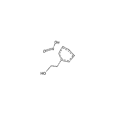 O=NO.OCCc1ccccc1